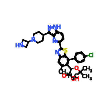 Cc1cc2nc(-c3ccc4[nH]nc(C5CCN(C6CNC6)CC5)c4n3)sc2c(-c2ccc(Cl)cc2)c1[C@H](OC(C)(C)C)C(=O)O